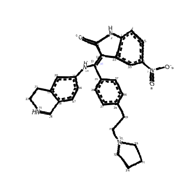 O=C1Nc2ccc([N+](=O)[O-])cc2/C1=C(/Nc1ccc2c(c1)CCNC2)c1ccc(CCN2CCCC2)cc1